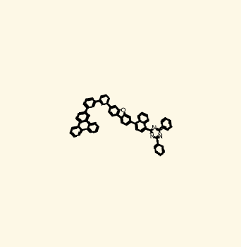 c1ccc(-c2nc(-c3ccccc3)nc(-c3ccc(-c4ccc5c(c4)oc4cc(-c6cccc(-c7cccc(-c8ccc9c%10ccccc%10c%10ccccc%10c9c8)c7)c6)ccc45)c4ccccc34)n2)cc1